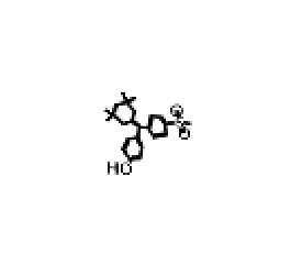 CC1(C)CC(=C(c2ccc(O)cc2)c2ccc(S(C)(=O)=O)cc2)CC(C)(C)C1